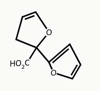 O=C(O)C1(c2ccco2)CC=CO1